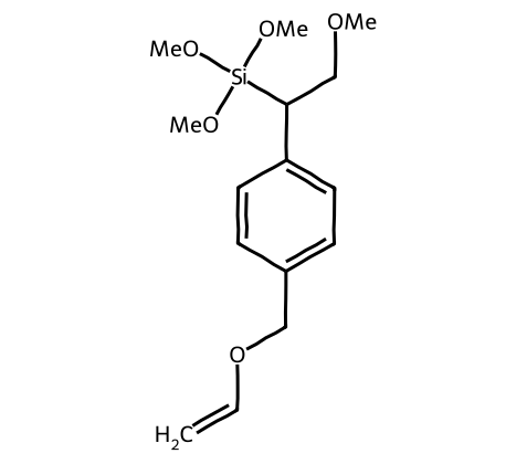 C=COCc1ccc(C(COC)[Si](OC)(OC)OC)cc1